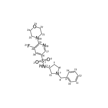 O=S(=O)(NC1CCN(Cc2ccccc2)C1)c1cnc(N2CCOCC2)c(F)c1